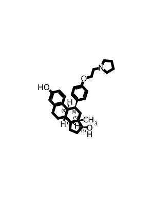 C[C@]12C[C@H](c3ccc(OCCN4CCCC4)cc3)[C@@H]3c4ccc(O)cc4CC[C@H]3[C@@H]1CC[C@@H]2O